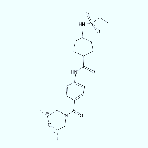 CC(C)S(=O)(=O)NC1CCC(C(=O)Nc2ccc(C(=O)N3C[C@@H](C)O[C@@H](C)C3)cc2)CC1